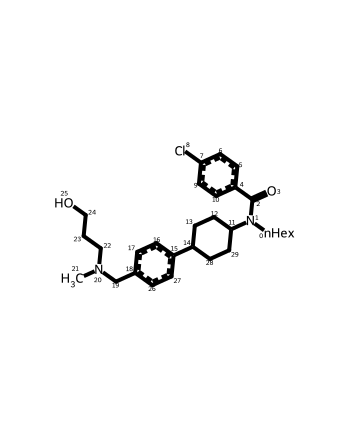 CCCCCCN(C(=O)c1ccc(Cl)cc1)C1CCC(c2ccc(CN(C)CCCO)cc2)CC1